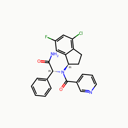 NC(=O)[C@@H](c1ccccc1)N(C(=O)c1cccnc1)[C@@H]1CCc2c(Cl)cc(F)cc21